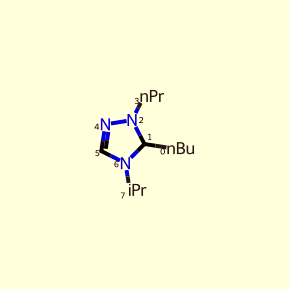 CCCCC1N(CCC)N=CN1C(C)C